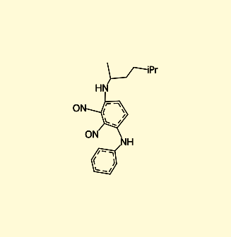 CC(C)CCC(C)Nc1ccc(Nc2ccccc2)c(N=O)c1N=O